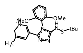 COc1cccc(OC)c1-n1c(NSC(C)(C)C)nnc1C1=CNCC(C)=C1